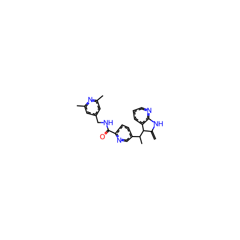 C=C1Nc2ncccc2C1C(C)c1ccc(C(=O)NCc2cc(C)nc(C)c2)nc1